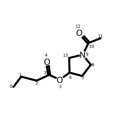 CCCC(=O)OC1CCN(C(C)=O)C1